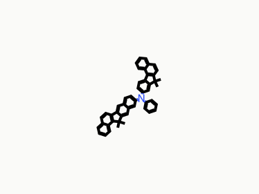 CC1(C)c2cc(N(c3ccccc3)c3ccc4cc5c(cc4c3)C(C)(C)c3c-5ccc4ccccc34)ccc2-c2c1ccc1ccccc21